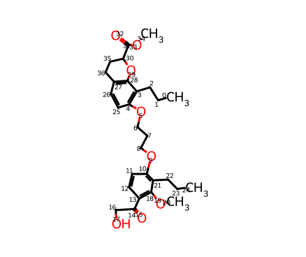 CCCc1c(OCCCOc2ccc(C(=O)CO)c(OC)c2CCC)ccc2c1OC(C(=O)OC)CC2